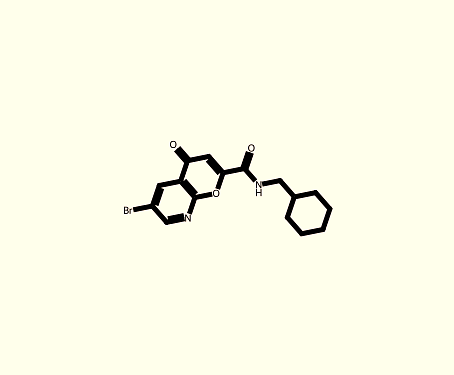 O=C(NCC1CCCCC1)c1cc(=O)c2cc(Br)cnc2o1